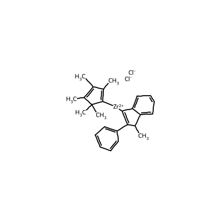 CC1=C(C)C(C)(C)[C]([Zr+2][C]2=C(c3ccccc3)C(C)c3ccccc32)=C1C.[Cl-].[Cl-]